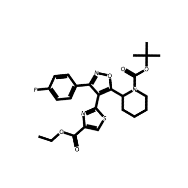 CCOC(=O)c1csc(-c2c(-c3ccc(F)cc3)noc2C2CCCCN2C(=O)OC(C)(C)C)n1